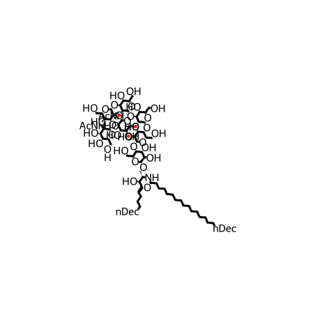 CCCCCCCCCCCCC/C=C/[C@@H](O)[C@H](CO[C@@H]1OC(CO)[C@@H](O[C@@H]2OC(CO)[C@H](O[C@@H]3OC(CO)[C@H](O)[C@H](O[C@@H]4OC(CO)[C@H](O)[C@H](O[C@@H]5OC(CO)[C@H](O)[C@H](O[C@H]6OC(CO)[C@H](O)[C@H](O)C6NC(C)=O)C5O[C@H]5OC(C)[C@@H](O)C(O)[C@@H]5O)C4NC(C)=O)C3O)[C@H](O)C2O)[C@H](O)C1O)NC(=O)CCCCCCCCCCCCCCCCCCCCCCCCC